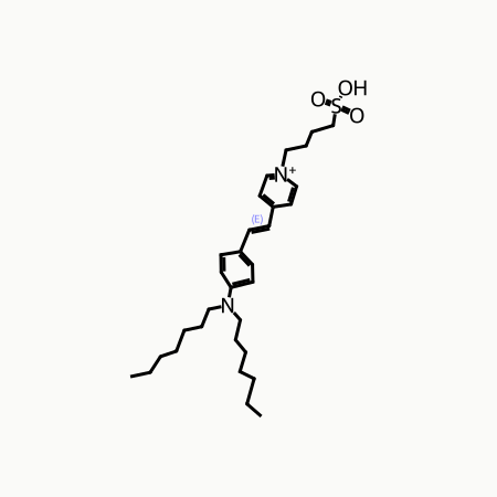 CCCCCCCN(CCCCCCC)c1ccc(/C=C/c2cc[n+](CCCCS(=O)(=O)O)cc2)cc1